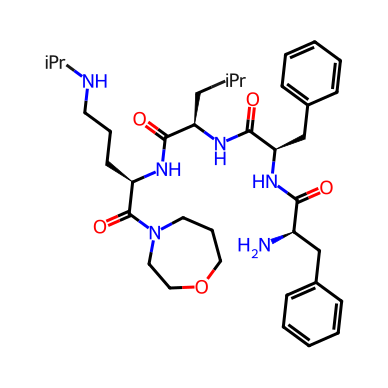 CC(C)C[C@@H](NC(=O)[C@@H](Cc1ccccc1)NC(=O)[C@H](N)Cc1ccccc1)C(=O)N[C@H](CCCNC(C)C)C(=O)N1CCCOCC1